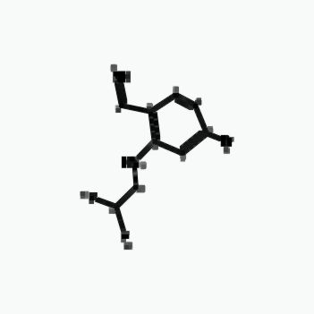 N=Cc1ccc(Br)cc1NCC(F)F